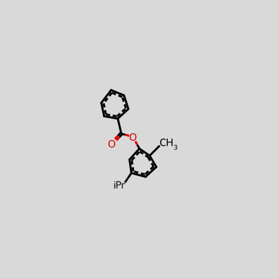 Cc1ccc(C(C)C)cc1OC(=O)c1ccccc1